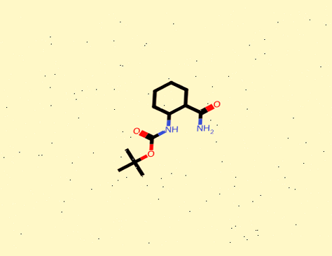 CC(C)(C)OC(=O)NC1CCCCC1C(N)=O